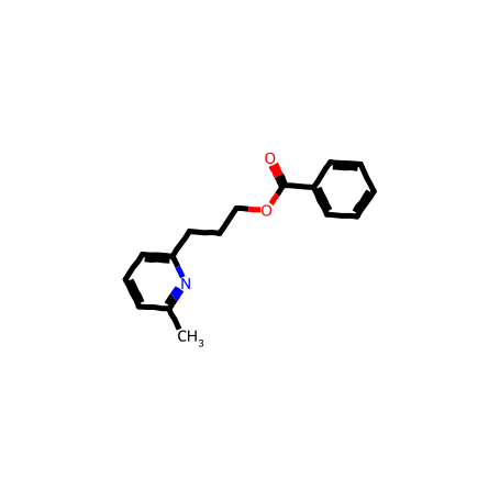 Cc1cccc(CCCOC(=O)c2ccccc2)n1